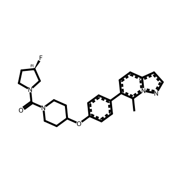 Cc1c(-c2ccc(OC3CCN(C(=O)N4CC[C@@H](F)C4)CC3)cc2)ccc2ccnn12